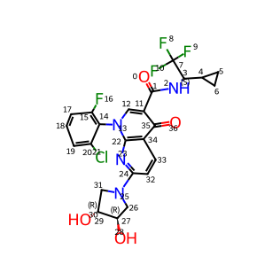 O=C(N[C@@H](C1CC1)C(F)(F)F)c1cn(-c2c(F)cccc2Cl)c2nc(N3C[C@@H](O)[C@H](O)C3)ccc2c1=O